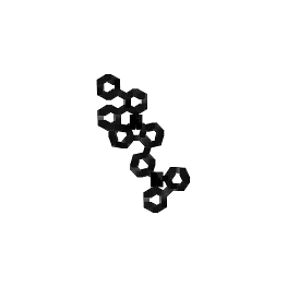 c1ccc(-c2cccc(-n3c4ccccc4c4c(-c5cccc(-n6c7ccccc7c7ccccc76)c5)cccc43)c2-c2ccccc2)cc1